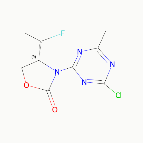 Cc1nc(Cl)nc(N2C(=O)OC[C@@H]2C(C)F)n1